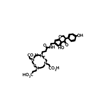 O=C(O)CCN1CCN(CC(=O)O)CCN(CCC(=O)NCc2cc(O)c3c(c2)OCC(c2ccc(O)cc2)C3=O)CCN(CC(=O)O)CC1